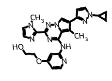 Cc1c(-c2ccn(C3CC3)n2)cn2nc(-c3nccn3C)nc(Nc3cc(OCCO)ccn3)c12